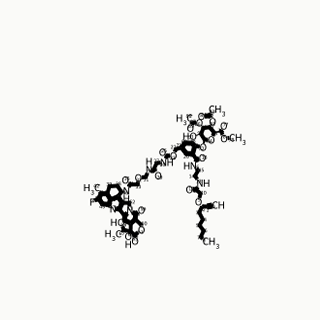 C#CC(CCCCCC)OCC(=O)NCCNC(=O)c1cc(COC(=O)NCC(=O)NCOCC(=O)N[C@H]2CCc3c(C)c(F)cc4nc5c(c2c34)Cn2c-5cc3c(c2=O)COC(=O)[C@]3(O)[C@@H](C)O)ccc1O[C@@H]1O[C@H](C(=O)OC)[C@@H](OC(C)=O)[C@H](OC(C)=O)[C@H]1O